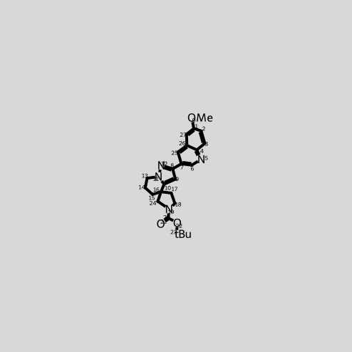 COc1ccc2ncc(-c3cc4n(n3)CCCC43CCN(C(=O)OC(C)(C)C)C3)cc2c1